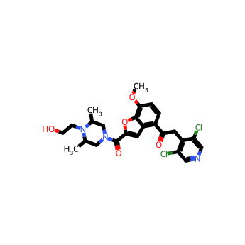 COc1ccc(C(=O)Cc2c(Cl)cncc2Cl)c2cc(C(=O)N3CC(C)N(CCO)C(C)C3)oc12